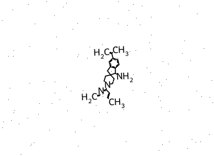 C=C/N=C(\C=C\C)N1CCC2(CC1)Cc1cc(C(=C)C)ccc1C2N